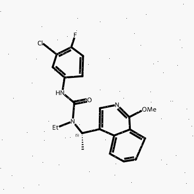 CCN(C(=O)Nc1ccc(F)c(Cl)c1)[C@@H](C)c1cnc(OC)c2ccccc12